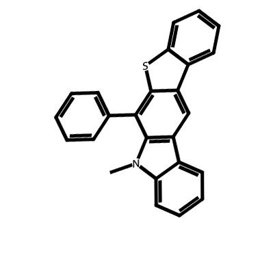 Cn1c2ccccc2c2cc3c(sc4ccccc43)c(-c3ccccc3)c21